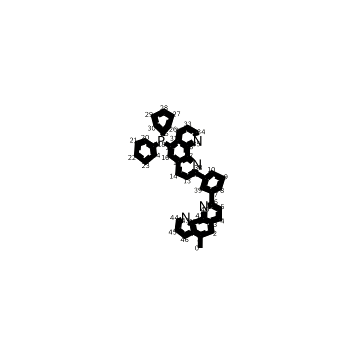 Cc1cc2ccc(-c3cccc(-c4ccc5cc(P(c6ccccc6)c6ccccc6)c6cccnc6c5n4)c3)nc2c2ncccc12